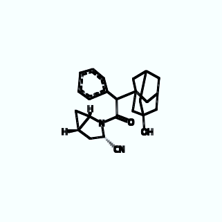 N#C[C@@H]1C[C@@H]2C[C@@H]2N1C(=O)C(c1ccccc1)C12CC3CC(CC(O)(C3)C1)C2